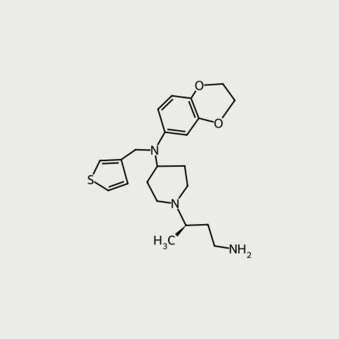 C[C@H](CCN)N1CCC(N(Cc2ccsc2)c2ccc3c(c2)OCCO3)CC1